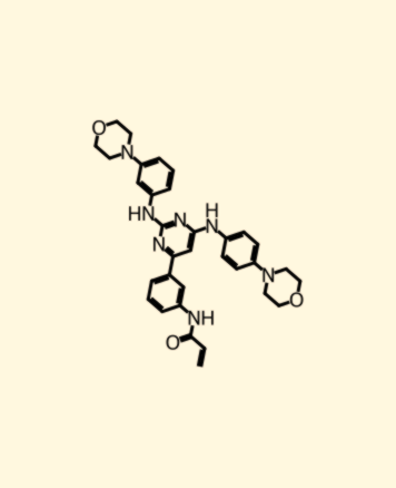 C=CC(=O)Nc1cccc(-c2cc(Nc3ccc(N4CCOCC4)cc3)nc(Nc3cccc(N4CCOCC4)c3)n2)c1